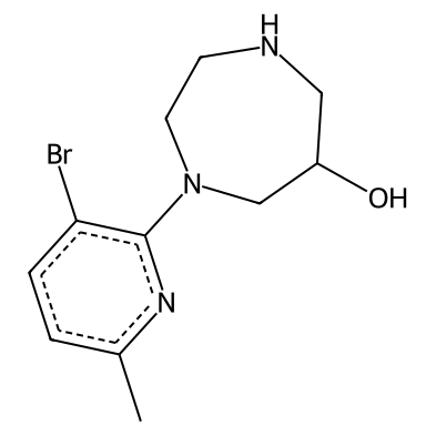 Cc1ccc(Br)c(N2CCNCC(O)C2)n1